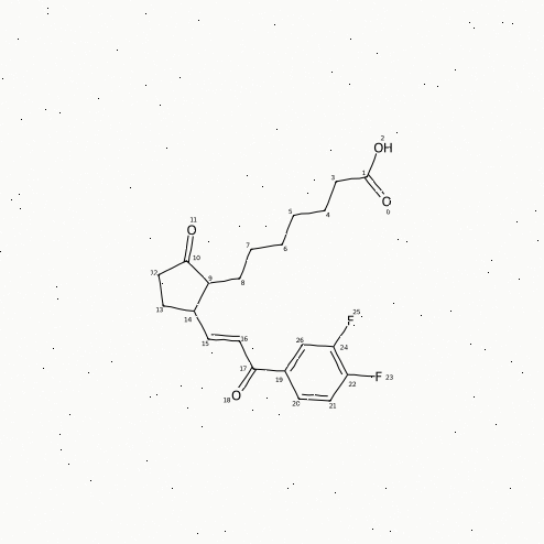 O=C(O)CCCCCCC1C(=O)CCC1/C=C/C(=O)c1ccc(F)c(F)c1